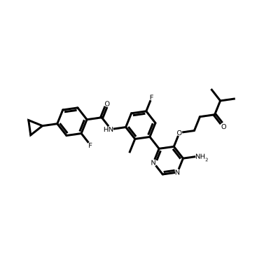 Cc1c(NC(=O)c2ccc(C3CC3)cc2F)cc(F)cc1-c1ncnc(N)c1OCCC(=O)C(C)C